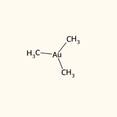 [CH3][Au]([CH3])[CH3]